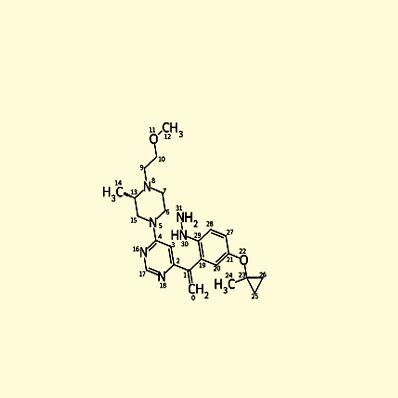 C=C(c1cc(N2CCN(CCOC)[C@H](C)C2)ncn1)c1cc(OC2(C)CC2)ccc1NN